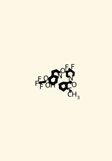 CSc1ccccc1C(=O)N1CCC(F)(F)C(Oc2ccc3ccccc3n2)C1.O=C(O)C(F)(F)F